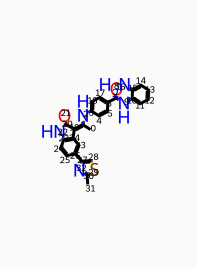 C/C(Nc1ccc(C(=O)Nc2ccccc2N)cc1)=C1/C(=O)Nc2ccc(-c3csc(C)n3)cc21